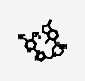 C=C1CCc2c1ccc([C@@H]1CN(Cc3cnn(-c4cc(C(F)(F)F)c(C#N)cn4)c3)CCN1)c2C